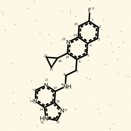 Fc1ccc2cc(CCNc3ncnc4[nH]cnc34)c(C3CC3)nc2c1